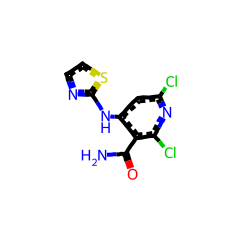 NC(=O)c1c(Nc2nccs2)cc(Cl)nc1Cl